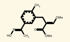 CO/C=C(\Cc1cc(/C(C)=N/O)ccc1C)C(=O)OC